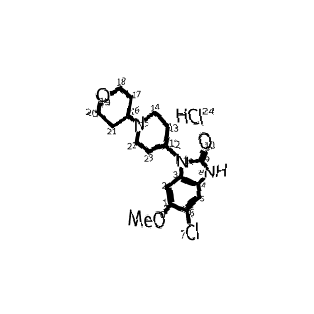 COc1cc2c(cc1Cl)[nH]c(=O)n2C1CCN(C2CCOCC2)CC1.Cl